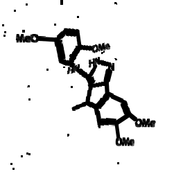 COc1ccc(OC)c(Nc2[nH]nc3c2C(C)c2cc(OC)c(OC)cc2-3)c1